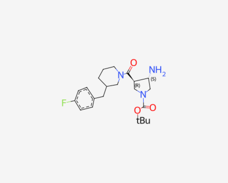 CC(C)(C)OC(=O)N1C[C@@H](N)[C@H](C(=O)N2CCCC(Cc3ccc(F)cc3)C2)C1